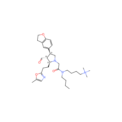 CCCCN(CCCC[N+](C)(C)C)C(=O)CN1C[C@H](c2ccc3c(c2)CCO3)[C@@H](C=O)[C@@H]1CCc1ncc(C)o1